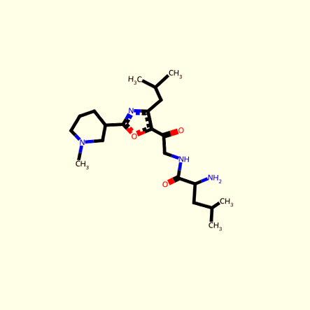 CC(C)Cc1nc(C2CCCN(C)C2)oc1C(=O)CNC(=O)C(N)CC(C)C